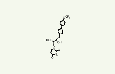 Cn1c(=O)ccn(CCC(C(=O)O)C(O)CCc2ccc(-c3ccc(OC(F)(F)F)cc3)cc2)c1=O